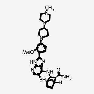 COc1cc(N2CCC(N3CCN(C)CC3)CC2)ccc1-c1nc2c(N[C@H]3[C@@H](C(N)=O)[C@@H]4C=C[C@H]3C4)c(Br)cnc2[nH]1